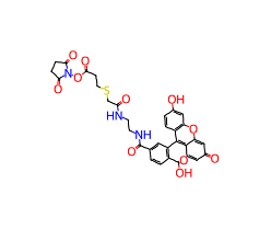 O=C(CSCCC(=O)ON1C(=O)CCC1=O)NCCNC(=O)c1ccc(C(=O)O)c(-c2c3ccc(=O)cc-3oc3cc(O)ccc23)c1